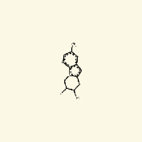 CC(C)C1Cc2cc3cc(C(F)(F)F)cnc3n2CC1F